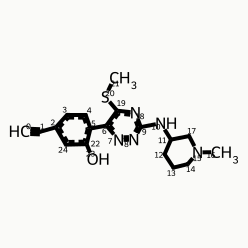 C#Cc1ccc(-c2nnc(NC3CCCN(C)C3)nc2SC)c(O)c1